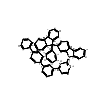 c1ccc(-c2ccc(-c3cccc(-c4ccnc(-n5c6ccccc6c6ccc(C7(c8ccccc8)c8ccccc8-c8ccccc87)cc65)n4)c3)cc2)cc1